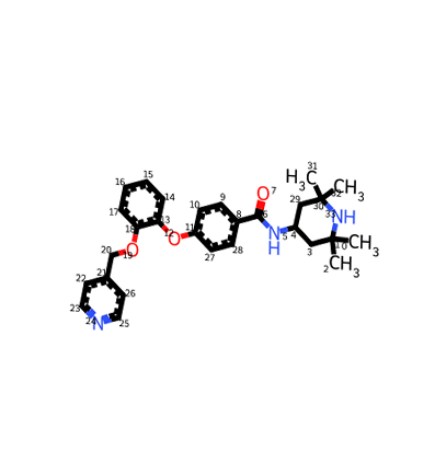 CC1(C)CC(NC(=O)c2ccc(Oc3ccccc3OCc3ccncc3)cc2)CC(C)(C)N1